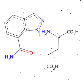 NC(=O)c1cccc2cn[nH]c12.NC(CCC(=O)O)C(=O)O